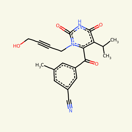 Cc1cc(C#N)cc(C(=O)c2c(C(C)C)c(=O)[nH]c(=O)n2CC#CCO)c1